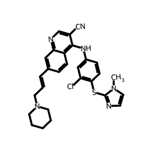 Cn1ccnc1Sc1ccc(Nc2c(C#N)cnc3cc(/C=C/CN4CCCCC4)ccc23)cc1Cl